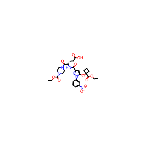 CCOC(=O)N1CCN(C(=O)[C@H](CCC(=O)O)NC(=O)c2cc(OC3(C(=O)OCC)CCC3)n(-c3cccc([N+](=O)[O-])c3)n2)CC1